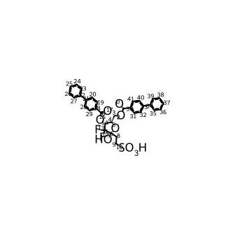 O=C(OC[C@H]1OC(O)(CCS(=O)(=O)O)C(F)(F)[C@@H]1OC(=O)c1ccc(-c2ccccc2)cc1)c1ccc(-c2ccccc2)cc1